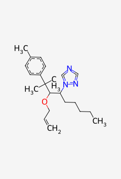 C=CCOC(C(CCCCC)n1cncn1)C(C)(C)c1ccc(C)cc1